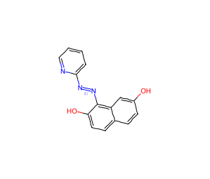 Oc1ccc2ccc(O)c(/N=N/c3ccccn3)c2c1